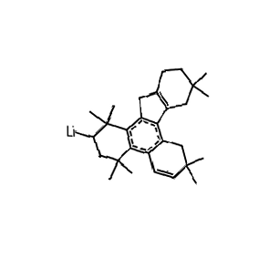 [Li][CH]1CC(C)(C)c2c3c(c4c(c2C1(C)C)CC1=C4CC(C)(C)CC1)CC(C)(C)C=C3